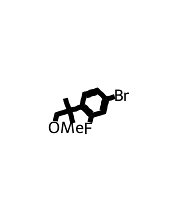 COCC(C)(C)c1ccc(Br)cc1F